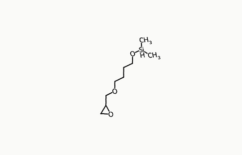 C[SiH](C)OCCCCOCC1CO1